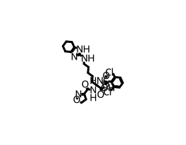 O=C(NC(CCCCCNc1nc2c([nH]1)CCCC2)(NS(=O)(=O)c1c(Cl)cccc1Cl)C(=O)O)C1=NOCC1